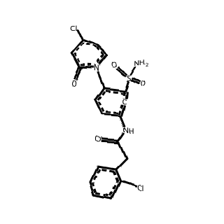 NS(=O)(=O)c1cc(NC(=O)Cc2ccccc2Cl)ccc1-n1ccc(Cl)cc1=O